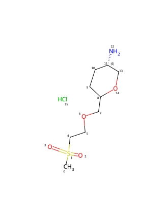 CS(=O)(=O)CCOCC1CC[C@H](N)CO1.Cl